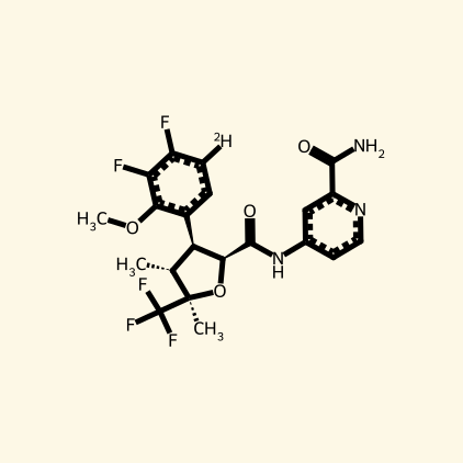 [2H]c1cc([C@H]2[C@@H](C(=O)Nc3ccnc(C(N)=O)c3)O[C@@](C)(C(F)(F)F)[C@@H]2C)c(OC)c(F)c1F